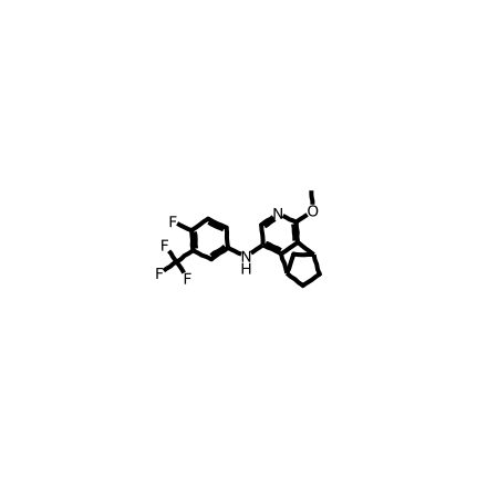 COc1ncc(Nc2ccc(F)c(C(F)(F)F)c2)c2c1C1CCC2C1